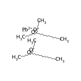 CCCCCCCCCCCCCCCCC(CCCCCCCC)(CCCCCCCC)C(=O)[O-].CCCCCCCCCCCCCCCCC(CCCCCCCC)(CCCCCCCC)C(=O)[O-].[Pb+2]